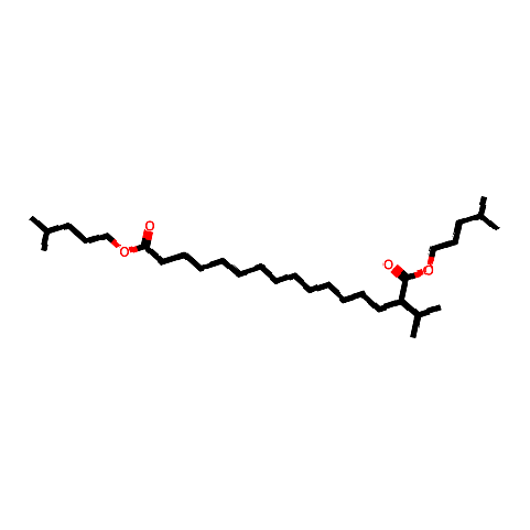 CC(C)CCCOC(=O)CCCCCCCCCCCCCC(C(=O)OCCCC(C)C)C(C)C